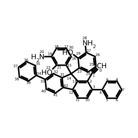 C#Cc1c(-c2ccccc2)ccc2c1C(c1cccc(N)c1O)(c1cccc(N)c1O)c1cc(-c3ccccc3)ccc1-2